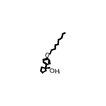 CCCCCCCCCOc1ccc(C2(CO)CCCC2)cc1